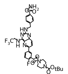 CC(C)(C)OC(=O)N1CCN(S(=O)(=O)c2cc(-c3ccc4nc(NCc5ccc(S(N)(=O)=O)cc5)nc(NCC(F)(F)F)c4n3)ccc2F)CC1